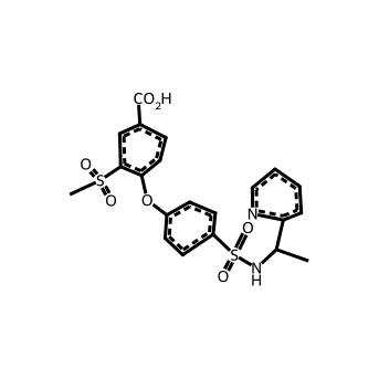 CC(NS(=O)(=O)c1ccc(Oc2ccc(C(=O)O)cc2S(C)(=O)=O)cc1)c1ccccn1